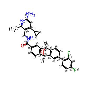 Cc1nc(N)cc(C2CC2)c1CNC(=O)c1ccc2c(c1)[C@@H]1O[C@H]2c2cc(-c3ccc(F)cc3F)ccc21